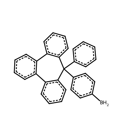 Bc1ccc(C2(c3ccccc3)c3ccccc3-c3ccccc3-c3ccccc32)cc1